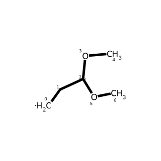 [CH2]C[C](OC)OC